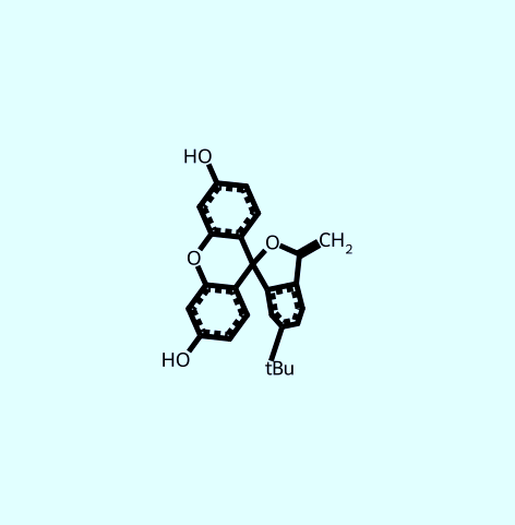 C=C1OC2(c3ccc(O)cc3Oc3cc(O)ccc32)c2cc(C(C)(C)C)ccc21